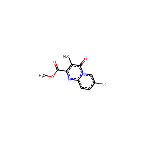 COC(=O)c1nc2ccc(Br)cn2c(=O)c1C